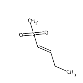 [CH2]S(=O)(=O)C=CCC